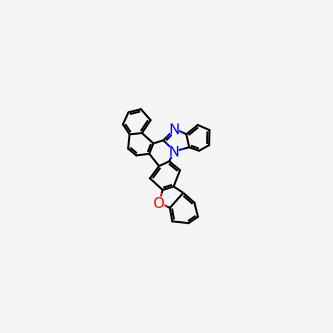 c1ccc2c(c1)ccc1c3cc4oc5ccccc5c4cc3n3c4ccccc4nc3c21